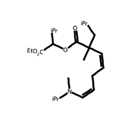 CCOC(=O)C(OC(=O)C(C)(/C=C\C/C=C\N(C)C(C)C)CC(C)C)C(C)C